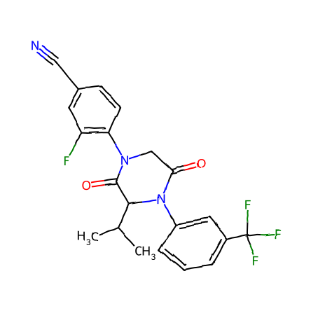 CC(C)C1C(=O)N(c2ccc(C#N)cc2F)CC(=O)N1c1cccc(C(F)(F)F)c1